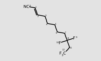 N#CC=CCCCCCC(F)(F)CC(F)(F)F